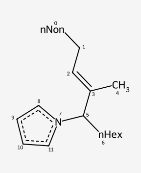 CCCCCCCCCCC=C(C)C(CCCCCC)n1cccc1